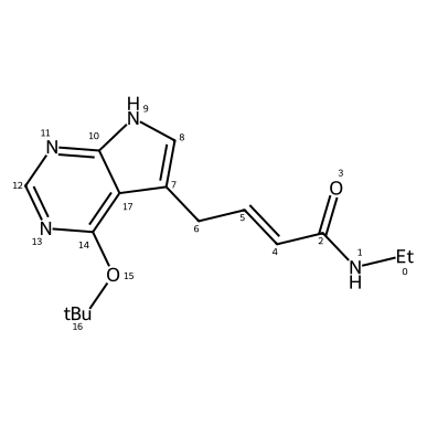 CCNC(=O)C=CCc1c[nH]c2ncnc(OC(C)(C)C)c12